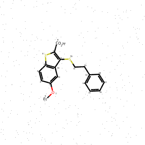 CCOc1ccc2sc(C(=O)O)c(SCCc3ccccc3)c2c1